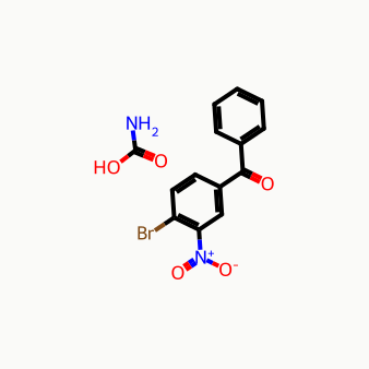 NC(=O)O.O=C(c1ccccc1)c1ccc(Br)c([N+](=O)[O-])c1